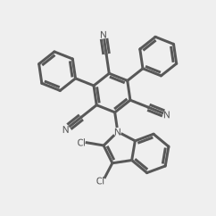 N#Cc1c(-c2ccccc2)c(C#N)c(-n2c(Cl)c(Cl)c3ccccc32)c(C#N)c1-c1ccccc1